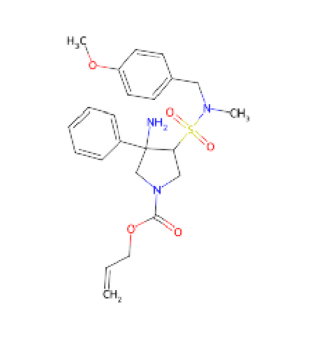 C=CCOC(=O)N1CC(S(=O)(=O)N(C)Cc2ccc(OC)cc2)C(N)(c2ccccc2)C1